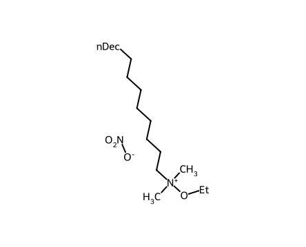 CCCCCCCCCCCCCCCCCC[N+](C)(C)OCC.O=[N+]([O-])[O-]